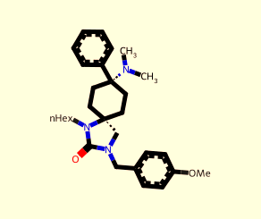 CCCCCCN1C(=O)N(Cc2ccc(OC)cc2)C[C@]12CC[C@@](c1ccccc1)(N(C)C)CC2